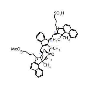 COSCCC[N+]1=C(/C=C/C2=C(N(C)S(=O)(=O)C(F)(F)F)C(=C/C=C3/N(CCCS(=O)(=O)O)c4ccc5ccccc5c4C3(C)C)/c3ccccc32)C(C)(C)c2c1ccc1ccccc21